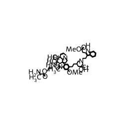 CCC1(O)CC(CCc2cc3c(cc2OC)N(C)C2C34CCN3CC=C[C@](CC)(C34)[C@@H](O)[C@]2(O)C(=O)NCCCOC(=O)[C@H](C)N)CN(CCc2c(CC(=O)OC)[nH]c3ccccc23)C1